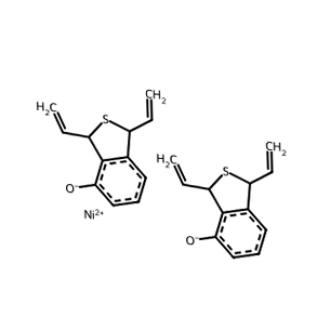 C=CC1SC(C=C)c2c([O-])cccc21.C=CC1SC(C=C)c2c([O-])cccc21.[Ni+2]